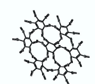 C=Bc1c(B=C)c2bbc3c(B=C)c(B=C)c(B=C)c4bbc5c(B=C)c(B=C)c(B=C)c6bbc7c(B=C)c(B=C)c(B=C)c8bbc9c(B=C)c(B=C)c(B=C)c%10bbc%11c(B=C)c(B=C)c(B=C)c%12bbc(c1B=C)c2bbc1c(bbc34)c(bbc56)c(bbc78)c(bbc%109)c1bbc%12%11